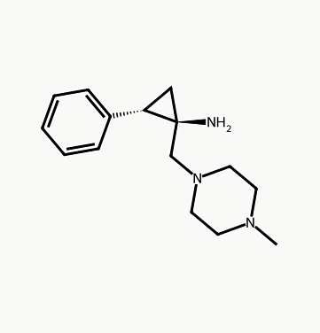 CN1CCN(C[C@@]2(N)C[C@H]2c2ccccc2)CC1